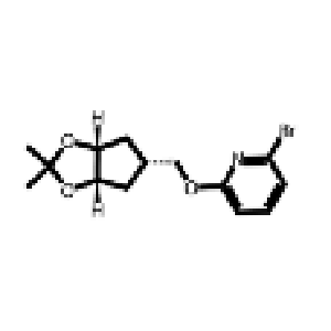 CC1(C)O[C@H]2C[C@@H](COc3cccc(Br)n3)C[C@H]2O1